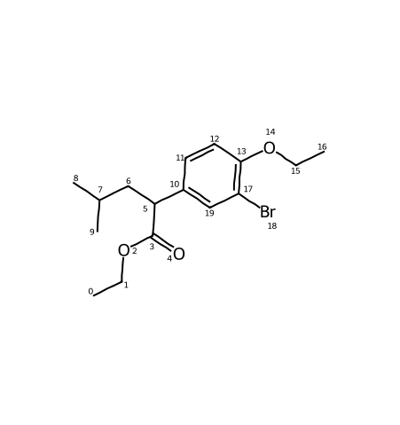 CCOC(=O)C(CC(C)C)c1ccc(OCC)c(Br)c1